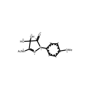 COc1ccc(N2N=C(NC(C)=O)C(O)(O)C2=O)cc1